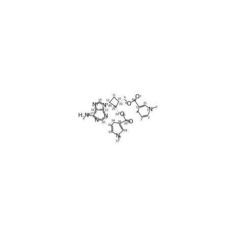 CN1C=CCC(C(=O)OC[C@H]2C[C@@H](n3cnc4c(N)ncnc43)[C@H]2COC(=O)C2=CN(C)C=CC2)=C1